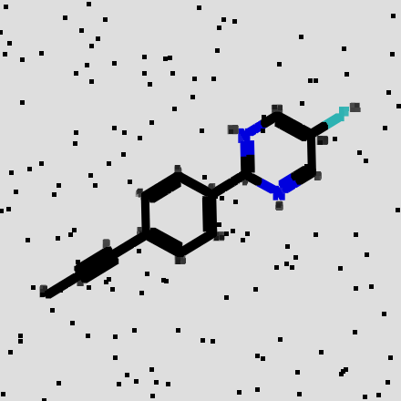 [CH2]C#Cc1ccc(-c2ncc(F)cn2)cc1